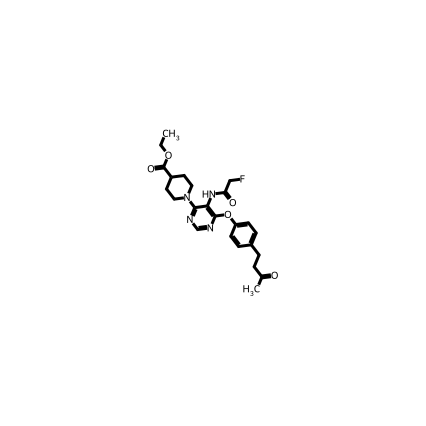 CCOC(=O)C1CCN(c2ncnc(Oc3ccc(CCC(C)=O)cc3)c2NC(=O)CF)CC1